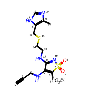 C#CCNC1=C(C(=O)OCC)S(=O)(=O)N=C1NCCSCc1[nH]cnc1C